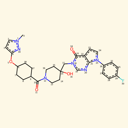 Cn1ccc(OC2CCC(C(=O)N3CCC(O)(Cn4cnc5c(ccn5-c5ccc(F)cc5)c4=O)CC3)CC2)n1